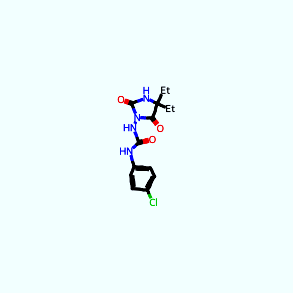 CCC1(CC)NC(=O)N(NC(=O)Nc2ccc(Cl)cc2)C1=O